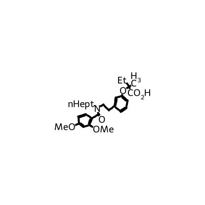 CCCCCCCN(CCc1cccc(OC(C)(CC)C(=O)O)c1)C(=O)c1ccc(OC)cc1OC